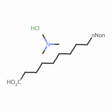 CCCCCCCCCCCCCCCCCC(=O)O.CN(C)C.Cl